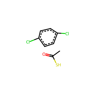 CC(=O)S.Clc1ccc(Cl)cc1